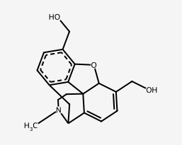 CN1CCC23C4=CC=C(CO)C2Oc2c(CO)ccc(c23)CC41